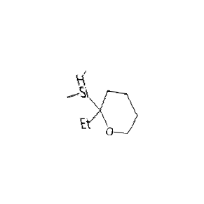 [CH2]CC1([SiH](C)C)CCCCO1